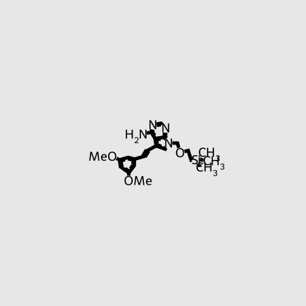 COc1cc(C#Cc2cn(COCC[Si](C)(C)C)c3ncnc(N)c23)cc(OC)c1